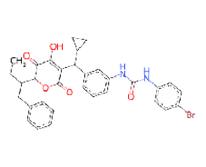 CCC(Cc1ccccc1)C1OC(=O)C(C(c2cccc(NC(=O)Nc3ccc(Br)cc3)c2)C2CC2)=C(O)C1=O